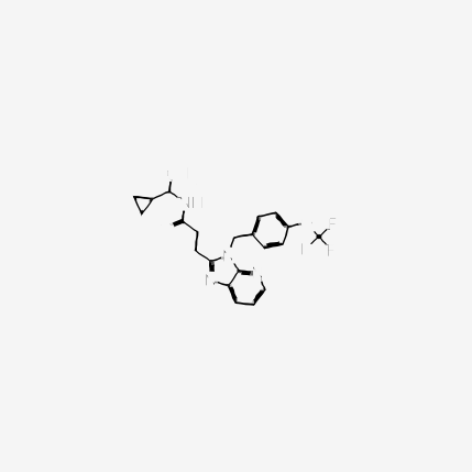 CC(NC(=O)CCc1nc2cccnc2n1Cc1ccc(OC(F)(F)F)cc1)C1CC1